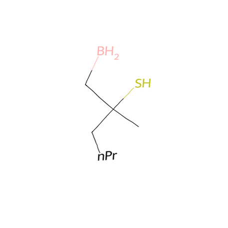 BCC(C)(S)CCCC